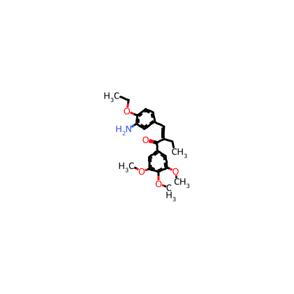 CCOc1ccc(C=C(CC)C(=O)c2cc(OC)c(OC)c(OC)c2)cc1N